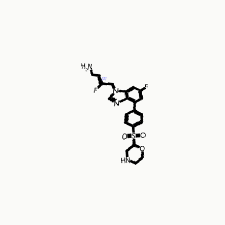 NC/C=C(\F)Cn1cnc2c(-c3ccc(S(=O)(=O)C4CNCCO4)cc3)cc(F)cc21